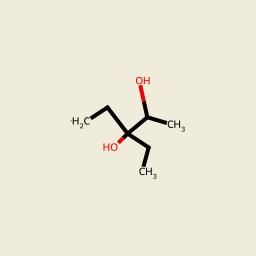 [CH2]CC(O)(CC)C(C)O